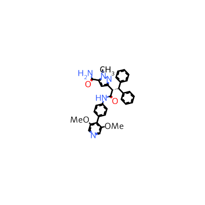 COc1cncc(OC)c1-c1ccc(NC(=O)[C@H](c2cc(C(N)=O)n(C)n2)C(c2ccccc2)c2ccccc2)cc1